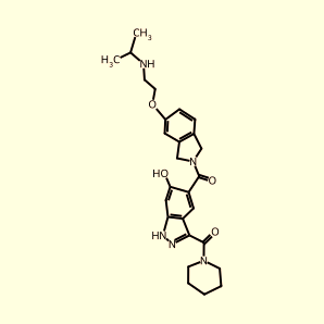 CC(C)NCCOc1ccc2c(c1)CN(C(=O)c1cc3c(C(=O)N4CCCCC4)n[nH]c3cc1O)C2